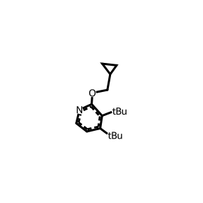 CC(C)(C)c1ccnc(OCC2CC2)c1C(C)(C)C